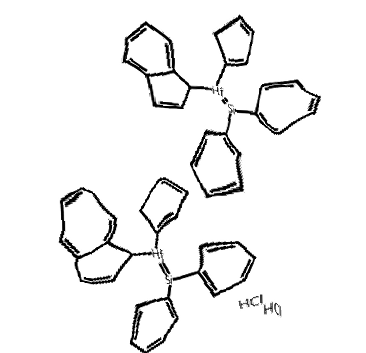 C1=CC[C]([Hf]([CH]2C=Cc3ccccc32)=[Si](c2ccccc2)c2ccccc2)=C1.C1=CC[C]([Hf]([CH]2C=Cc3ccccc32)=[Si](c2ccccc2)c2ccccc2)=C1.Cl.Cl